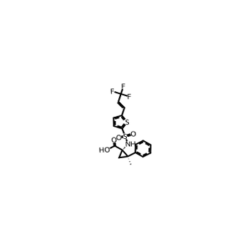 C[C@]1(c2ccccc2)C[C@@]1(NS(=O)(=O)c1ccc(/C=C/C(F)(F)F)s1)C(=O)O